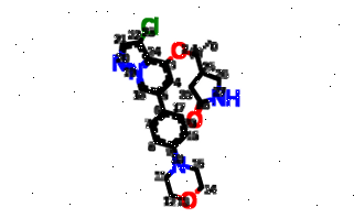 C[C@@H](Oc1cc(-c2ccc(N3CCOCC3)cc2)cn2ncc(Cl)c12)C1CNC(=O)C1